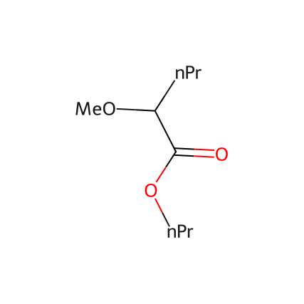 CCCOC(=O)C(CCC)OC